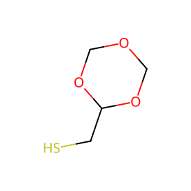 SCC1OCOCO1